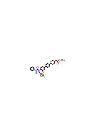 COC(=O)CC1CCC(c2ccc(-c3ccc4c(c3)OC(C)CN4C(=O)Nc3ccccc3)cc2)CC1